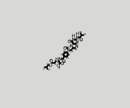 COC(=O)[C@H](CCC(=O)OCC(C)C)NC(=O)c1ccc(N(C=O)Cc2cnc3nc(NC(=O)C(C)C)[nH]c(=O)c3n2)cc1